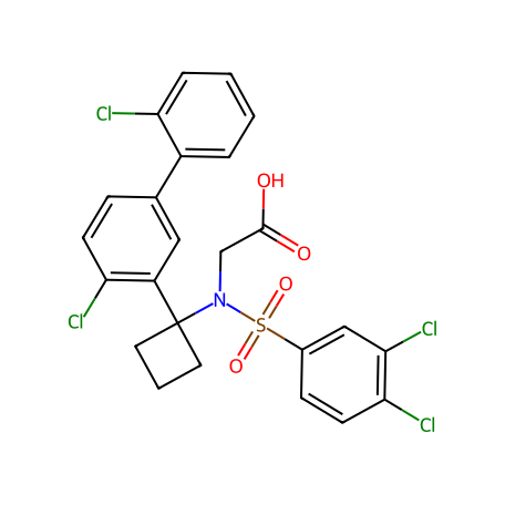 O=C(O)CN(C1(c2cc(-c3ccccc3Cl)ccc2Cl)CCC1)S(=O)(=O)c1ccc(Cl)c(Cl)c1